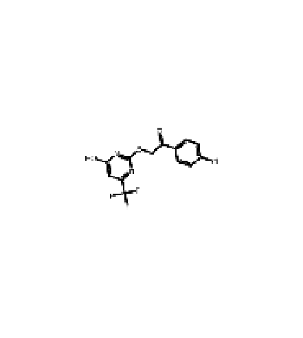 O=C(CSc1nc(O)cc(C(F)(F)F)n1)c1ccc(Cl)cc1